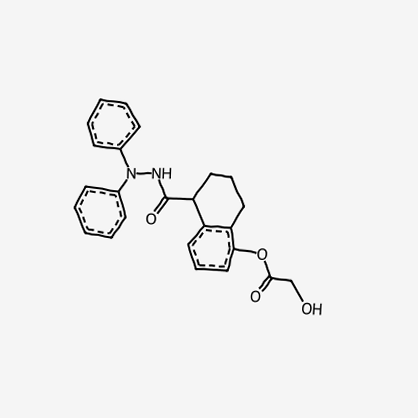 O=C(CO)Oc1cccc2c1CCCC2C(=O)NN(c1ccccc1)c1ccccc1